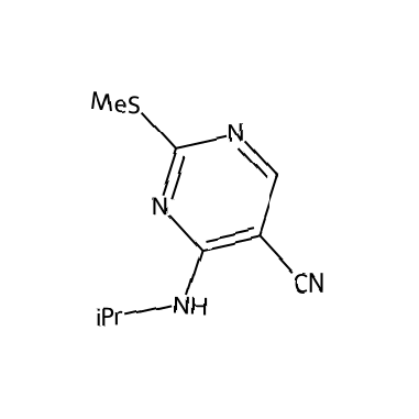 CSc1ncc(C#N)c(NC(C)C)n1